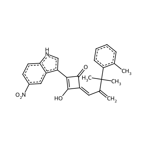 C=C(/C=C1\C(=O)C(c2c[nH]c3ccc([N+](=O)[O-])cc23)=C1O)C(C)(C)c1ccccc1C